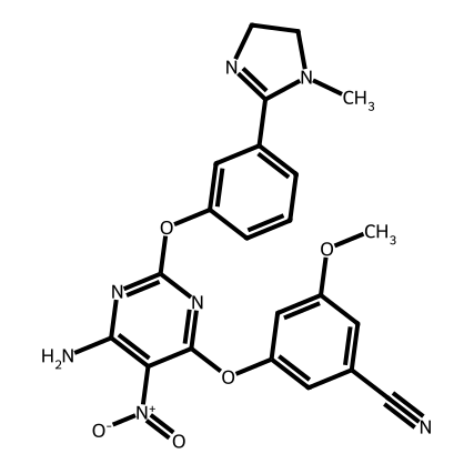 COc1cc(C#N)cc(Oc2nc(Oc3cccc(C4=NCCN4C)c3)nc(N)c2[N+](=O)[O-])c1